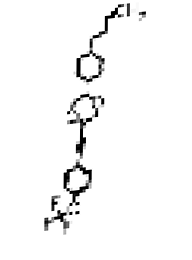 C=CCC[C@H]1CC[C@H](C2COC(C#Cc3ccc(OC(F)(F)F)cc3)CO2)CC1